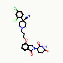 N#CC1(c2ccc(Cl)cc2Cl)CCN(CCCOc2cccc3c2CN(C2CCC(=O)NC2=O)C3=O)CC1